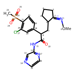 CO/N=C1/CCCC1CC(C(=O)Nc1cnccn1)c1ccc(S(C)(=O)=O)c(Cl)c1